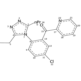 CCCc1nnc(CCl)n1-c1ccc(Cl)cc1C(=O)c1ccccn1